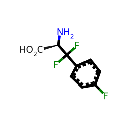 N[C@H](C(=O)O)C(F)(F)c1ccc(F)cc1